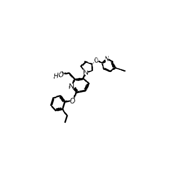 CCc1ccccc1Oc1ccc(N2CC[C@H](Oc3ccc(C)cn3)C2)c(CO)n1